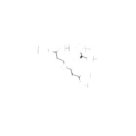 CC(=O)O.CC(C)CCOCCC(C)C